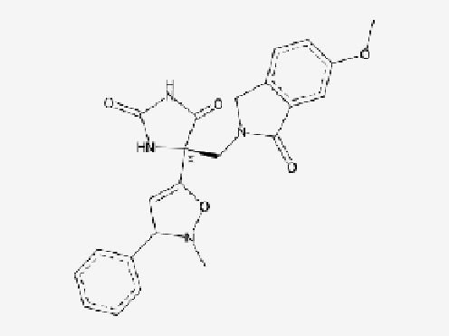 COc1ccc2c(c1)C(=O)N(C[C@@]1(C3=CC(c4ccccc4)N(C)O3)NC(=O)NC1=O)C2